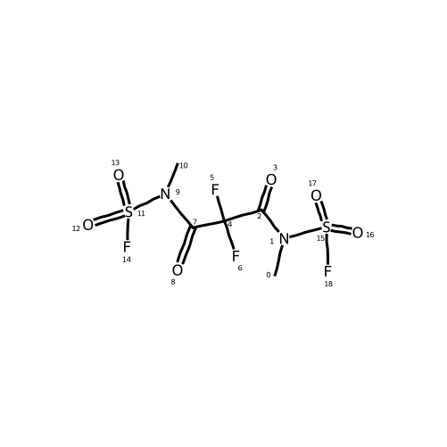 CN(C(=O)C(F)(F)C(=O)N(C)S(=O)(=O)F)S(=O)(=O)F